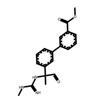 CNC(=N)NC(C)(C=O)c1cccc(-c2cccc(C(=O)OC)c2)c1